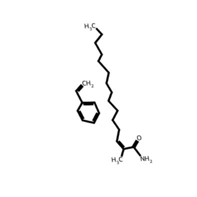 C=Cc1ccccc1.CCCCCCCCCCCCC=C(C)C(N)=O